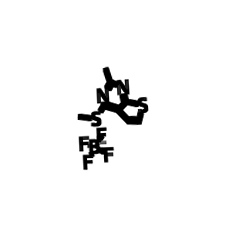 CSc1nc(C)nc2sccc12.F[B-](F)(F)F